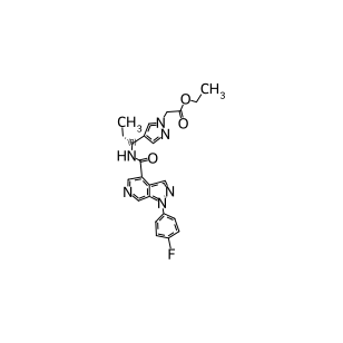 CCOC(=O)Cn1cc([C@@H](CC)NC(=O)c2cncc3c2cnn3-c2ccc(F)cc2)cn1